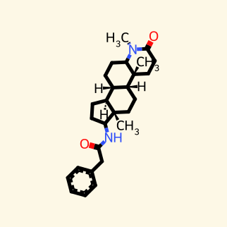 CN1C(=O)CC[C@@]2(C)C1CC[C@@H]1[C@H]2CC[C@]2(C)C(NC(=O)Cc3ccccc3)CC[C@@H]12